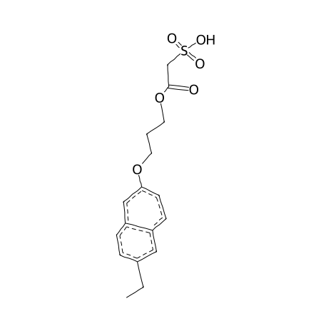 CCc1ccc2cc(OCCCOC(=O)CS(=O)(=O)O)ccc2c1